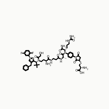 C[C@H](NC(=O)CCNC(=O)[C@@H](N)CCN(C(=O)CO)[C@@H](c1nn(-c2cc(F)ccc2F)cc1Cc1ccccc1)C(C)(C)C)C(=O)N(c1ccc(N2C(=O)CC(SC[C@H](N)C(=O)O)C2=O)cc1)[C@@H](CCCNC(N)=O)C(N)=O